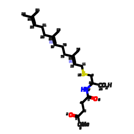 COC(=O)CCC(=O)NC(CSC/C=C(\C)CC/C=C(\C)CCC=C(C)C)C(=O)O